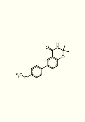 CC1(C)NC(=O)c2cc(-c3ccc(OC(F)(F)F)cc3)ccc2O1